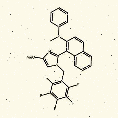 COc1cn(Cc2c(F)c(F)c(F)c(F)c2F)c(-c2c(P(C)c3ccccc3)ccc3ccccc23)n1